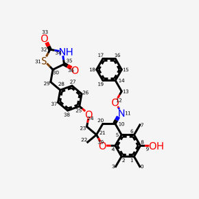 Cc1c(C)c2c(c(C)c1O)C(=NOCc1ccccc1)CC(C)(COc1ccc(CC3SC(=O)NC3=O)cc1)O2